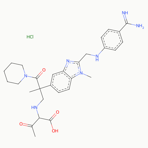 CC(=O)C(NCC(C)(C(=O)N1CCCCC1)c1ccc2c(c1)nc(CNc1ccc(C(=N)N)cc1)n2C)C(=O)O.Cl